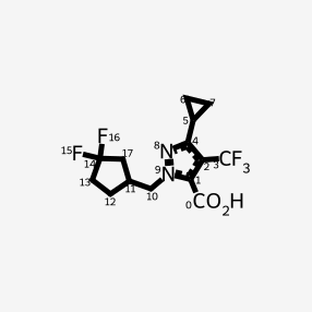 O=C(O)c1c(C(F)(F)F)c(C2CC2)nn1CC1CCC(F)(F)C1